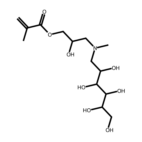 C=C(C)C(=O)OCC(O)CN(C)CC(O)C(O)C(O)C(O)CO